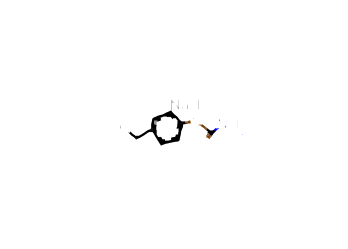 CCc1ccc(SC(N)=S)cc1.[NaH]